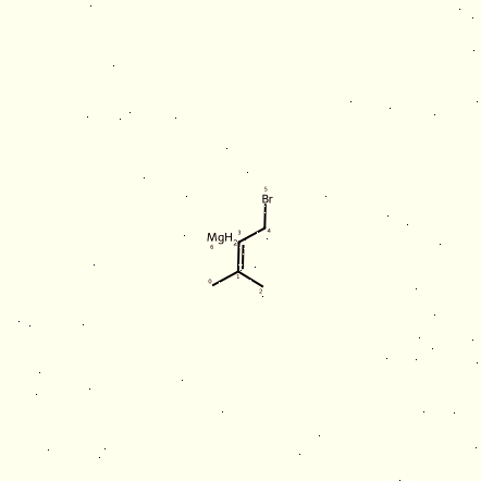 CC(C)=CCBr.[MgH2]